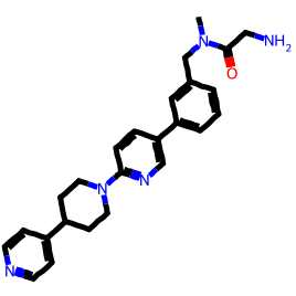 CN(Cc1cccc(-c2ccc(N3CCC(c4ccncc4)CC3)nc2)c1)C(=O)CN